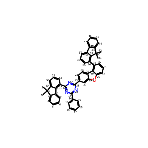 CC1(C)c2ccccc2-c2c(-c3nc(-c4ccccc4)nc(-c4ccc5c(c4)oc4cccc(-c6cccc7c6C(C)(C)c6ccccc6-7)c45)n3)cccc21